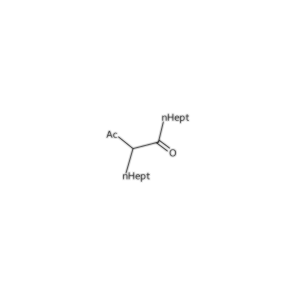 CCCCCCCC(=O)C(CCCCCCC)C(C)=O